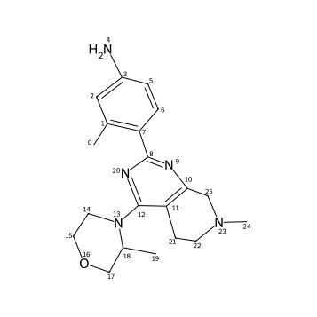 Cc1cc(N)ccc1-c1nc2c(c(N3CCOCC3C)n1)CCN(C)C2